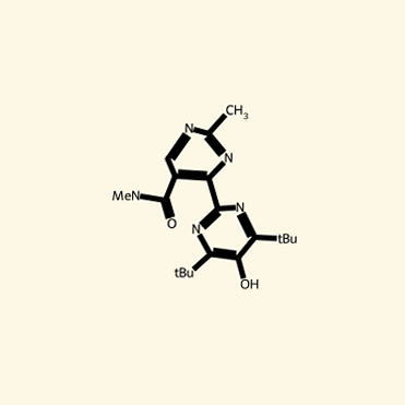 CNC(=O)c1cnc(C)nc1-c1nc(C(C)(C)C)c(O)c(C(C)(C)C)n1